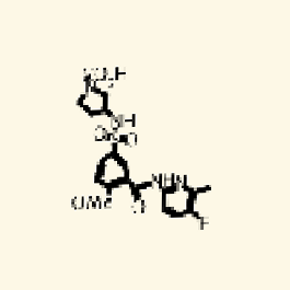 COc1ccc(S(=O)(=O)NC2CCN(C(=O)O)C2)cc1C(=O)Nc1ccc(F)c(C)n1